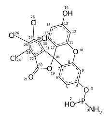 NP(O)Oc1ccc2c(c1)Oc1cc(O)ccc1C21OC(=O)c2c(Cl)c(Cl)c(Cl)c(Cl)c21